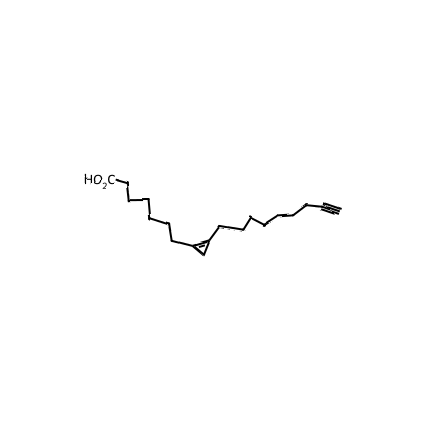 C#CCCCCCCCC1=C(CCCCCCC(=O)O)C1